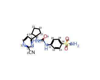 N#Cc1nccc(C2(NC(=O)Nc3ccc(S(N)(=O)=O)cc3)CCCC2)n1